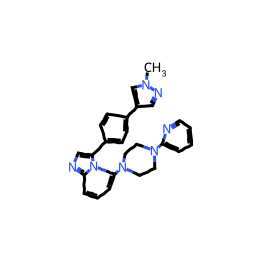 Cn1cc(-c2ccc(-c3cnc4cccc(N5CCN(c6ccccn6)CC5)n34)cc2)cn1